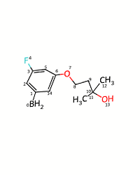 Bc1cc(F)cc(OCCC(C)(C)O)c1